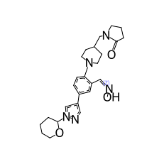 O=C1CCCN1CC1CCN(c2ccc(-c3cnn(C4CCCCO4)c3)cc2/C=N\O)CC1